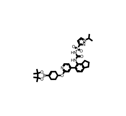 CC(C)n1ccc(S(=O)(=O)NC(=O)Nc2c(-c3ccnc(OC4CC=C(B5OC(C)(C)C(C)(C)O5)CC4)c3)ccc3c2CCC3)n1